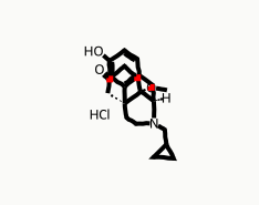 CO[C@@]12CCC(=O)C[C@@]13CCN(CC1CC1)[C@@H]2Cc1ccc(O)cc13.Cl